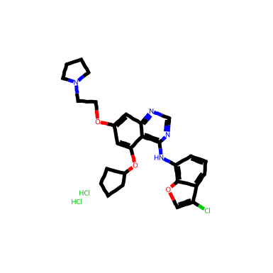 Cl.Cl.Clc1coc2c(Nc3ncnc4cc(OCCN5CCCC5)cc(OC5CCCC5)c34)cccc12